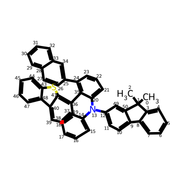 CC1(C)c2ccccc2-c2ccc(N(c3ccccc3)c3cccc(-c4ccc5ccccc5c4)c3-c3cccc4c3sc3ccccc34)cc21